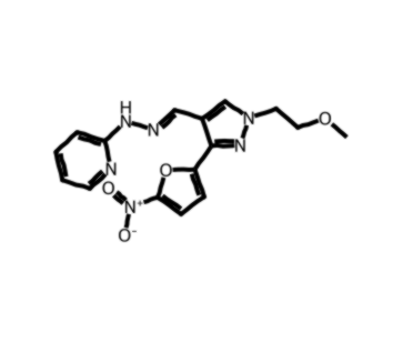 COCCn1cc(/C=N/Nc2ccccn2)c(-c2ccc([N+](=O)[O-])o2)n1